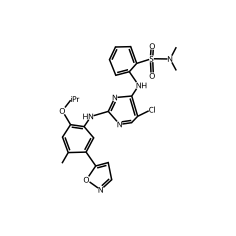 Cc1cc(OC(C)C)c(Nc2ncc(Cl)c(Nc3ccccc3S(=O)(=O)N(C)C)n2)cc1-c1ccno1